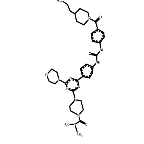 CCCC1CCN(C(=O)c2ccc(NC(=O)Nc3ccc(-c4nc(N5CCOCC5)nc(N5CCN(C(=O)N(C)C)CC5)n4)cc3)cc2)CC1